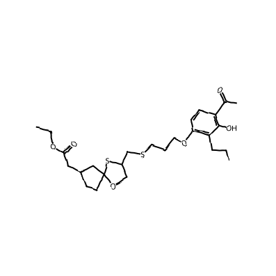 CCCc1c(OCCCSCC2COC3(CCC(CC(=O)OCC)C3)S2)ccc(C(C)=O)c1O